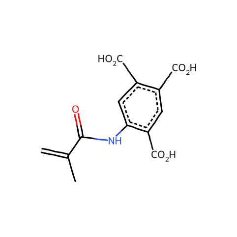 C=C(C)C(=O)Nc1cc(C(=O)O)c(C(=O)O)cc1C(=O)O